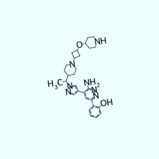 CC(C1CCN(C2CC(OC3CCNCC3)C2)CC1)n1cc(-c2cc(-c3ccccc3O)nnc2N)cn1